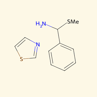 CSC(N)c1ccccc1.c1cscn1